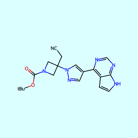 CC(C)(C)OC(=O)N1CC(CC#N)(n2cc(-c3ncnc4[nH]ccc34)cn2)C1